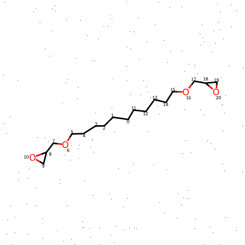 C(CCCCCOCC1CO1)CCCCCOCC1CO1